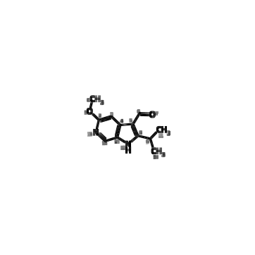 COc1cc2c(C=O)c(C(C)C)[nH]c2cn1